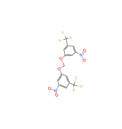 O=[N+]([O-])c1cc(OCOc2cc([N+](=O)[O-])cc(C(F)(F)F)c2)cc(C(F)(F)F)c1